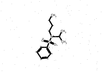 CCCCN(C(C)C)S(=O)(=O)c1ccccc1